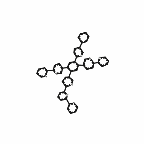 c1ccc(-c2ccc(-c3cc(-c4ccc(-c5ccccn5)nc4)c(-c4ccc(-c5cccc(-c6ccccn6)n5)nc4)cc3-c3ccc(-c4ccccn4)nc3)nc2)cc1